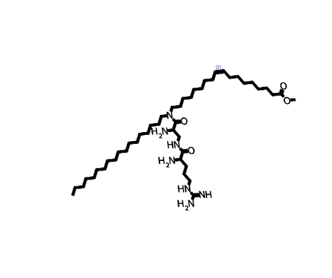 CCCCCCCCCCCCCCCCCCN(CCCCCCCC/C=C\CCCCCCCC(=O)OC)C(=O)C(N)CNC(=O)C(N)CCCNC(=N)N